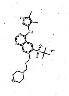 Cc1[nH]nc(Nc2ncnc3cc(OCCN4CCNCC4)c(S(=O)(=O)C(C)(C)C)cc23)c1C.Cl